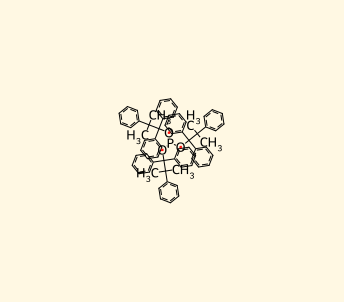 CC(C)(c1ccccc1)C(OP(OC(c1ccccc1)(c1ccccc1)C(C)(C)c1ccccc1)OC(c1ccccc1)(c1ccccc1)C(C)(C)c1ccccc1)(c1ccccc1)c1ccccc1